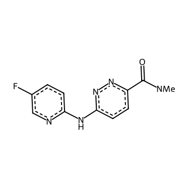 CNC(=O)c1ccc(Nc2ccc(F)cn2)nn1